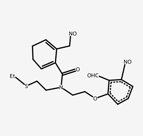 CCSCCN(CCOc1cccc(N=O)c1C=O)C(=O)C1=CCCC=C1CN=O